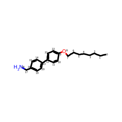 CCCCCCCCOc1ccc(-c2ccc(CN)cc2)cc1